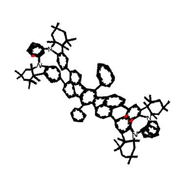 CC1(C)CC(C)(C)C2(C)c3cc(-c4ccc5c6c(-c7ccccc7)c7c8ccc(-c9ccc%10c(c9)C9(C)C(C)(C)CC(C)(C)CC9(C)N%10c9ccccc9)c9c(-c%10ccc%11c(c%10)C%10(C)C(C)(C)CC(C)(C)CC%10(C)N%11c%10ccccc%10)ccc(c7c(-c7ccccc7)c6c6ccc(-c7ccc%10c(c7)C7(C)C(C)(C)CC(C)(C)CC7(C)N%10c7ccccc7)c4c56)c98)ccc3N(c3ccccc3)C2(C)C1